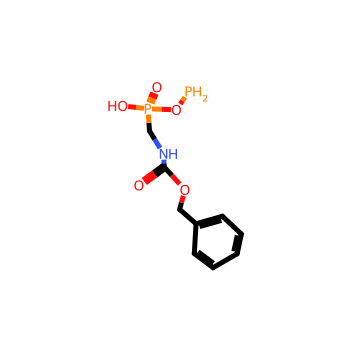 O=C(NCP(=O)(O)OP)OCc1ccccc1